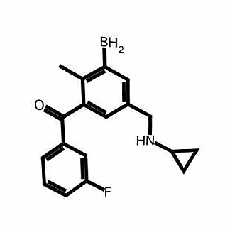 Bc1cc(CNC2CC2)cc(C(=O)c2cccc(F)c2)c1C